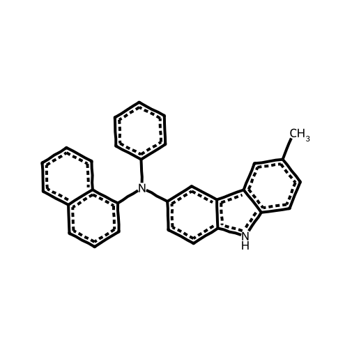 Cc1ccc2[nH]c3ccc(N(c4ccccc4)c4cccc5ccccc45)cc3c2c1